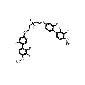 CCOc1ccc(-c2ccc(OCCC(F)(F)CCOc3ccc(-c4ccc(OCC)c(F)c4F)c(F)c3)cc2F)c(F)c1F